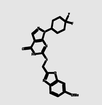 COc1ccc2nc(CSc3nc4c(cnn4C4CCC(F)(F)CC4)c(=O)[nH]3)oc2c1